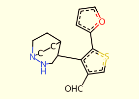 O=Cc1csc(-c2ccco2)c1C1CNN2CCC1CC2